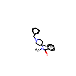 CCOC(=O)C1(N(C)C(=O)c2ccccc2)CCN(Cc2ccccc2)CC1